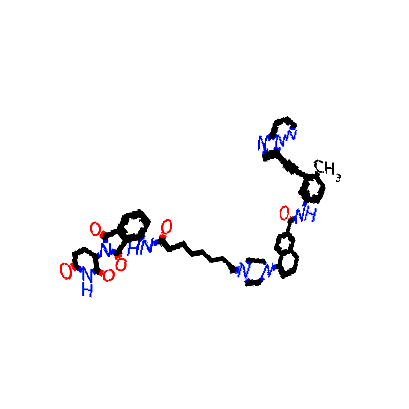 Cc1ccc(NC(=O)c2ccc3c(c2)CCCC3N2CCN(CCCCCCCC(=O)Nc3cccc4c3C(=O)N(C3CCC(=O)NC3=O)C4=O)CC2)cc1C#Cc1cnc2cccnn12